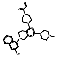 C=CC(=O)N1CCN(c2nc(N3CCN(C)CC3)nc3c2CCN(c2cc(O)cc4ccccc24)C3)CC1